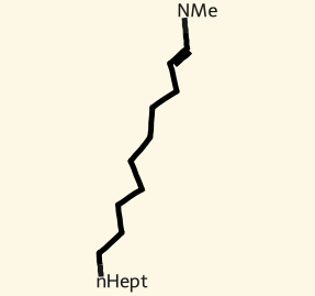 CCCCCCCCCCCCCCCC=CNC